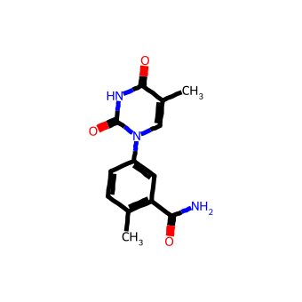 Cc1ccc(-n2cc(C)c(=O)[nH]c2=O)cc1C(N)=O